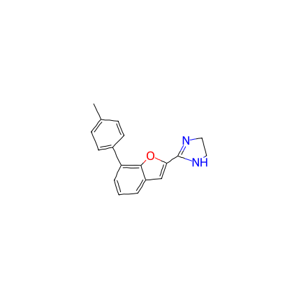 Cc1ccc(-c2cccc3cc(C4=NCCN4)oc23)cc1